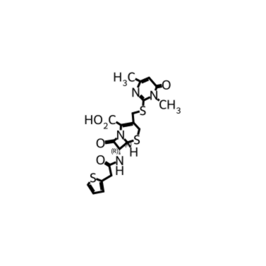 Cc1cc(=O)n(C)c(SCC2=C(C(=O)O)N3C(=O)[C@@H](NC(=O)Cc4cccs4)[C@H]3SC2)n1